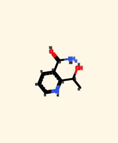 CC(O)c1ncccc1C(N)=O